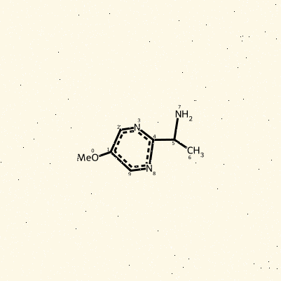 COc1cnc(C(C)N)nc1